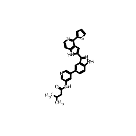 CC(C)CC(=O)Nc1cncc(-c2ccc3[nH]nc(-c4cc5c(-c6cccs6)nccc5[nH]4)c3c2)c1